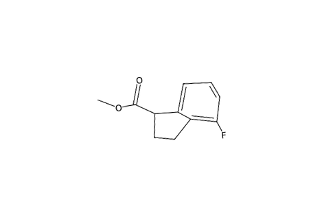 COC(=O)C1CCc2c(F)cccc21